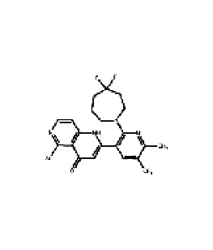 CC(=O)c1nccc2[nH]c(-c3cc(C(F)(F)F)c(C)nc3N3CCCC(F)(F)CC3)cc(=O)c12